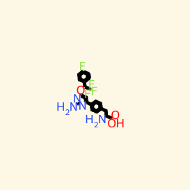 Nc1nc(OC(c2c#cc(F)cc2)C(F)(F)F)cc(-c2ccc(C[C@H](N)C(=O)O)cc2)n1